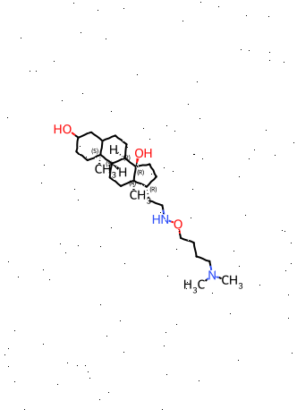 CN(C)CCCCONCC[C@H]1CC[C@@]2(O)[C@@H]3CCC4CC(O)CC[C@]4(C)[C@H]3CC[C@]12C